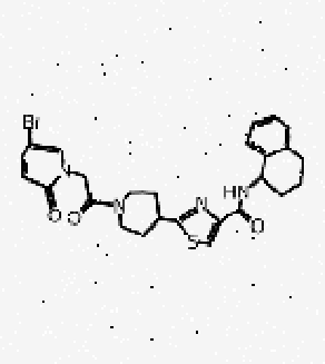 O=C(NC1CCCc2ccccc21)c1csc(C2CCN(C(=O)Cn3cc(Br)ccc3=O)CC2)n1